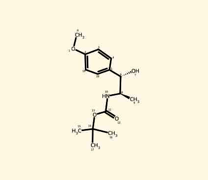 COc1ccc([C@H](O)[C@@H](C)NC(=O)OC(C)(C)C)cc1